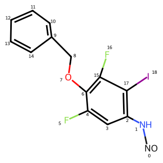 O=NNc1cc(F)c(OCc2ccccc2)c(F)c1I